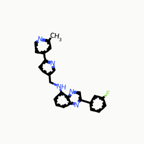 Cc1cc(-c2ccc(CNc3cccc4nc(-c5cccc(F)c5)cnc34)cn2)ccn1